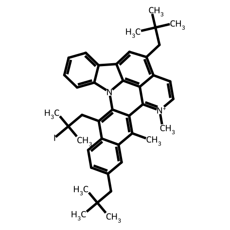 Cc1c2cc(CC(C)(C)C)ccc2c(CC(C)(C)I)c2c1c1c3c(cc[n+]1C)c(CC(C)(C)C)cc1c4ccccc4n2c13